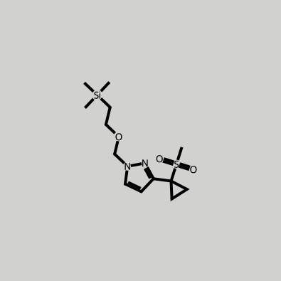 C[Si](C)(C)CCOCn1ccc(C2(S(C)(=O)=O)CC2)n1